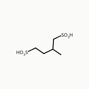 CC(CCS(=O)(=O)O)CS(=O)(=O)O